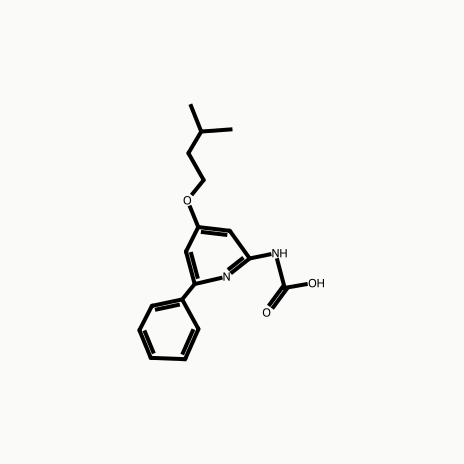 CC(C)CCOc1cc(NC(=O)O)nc(-c2ccccc2)c1